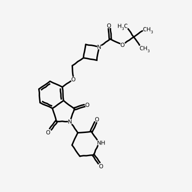 CC(C)(C)OC(=O)N1CC(COc2cccc3c2C(=O)N(C2CCC(=O)NC2=O)C3=O)C1